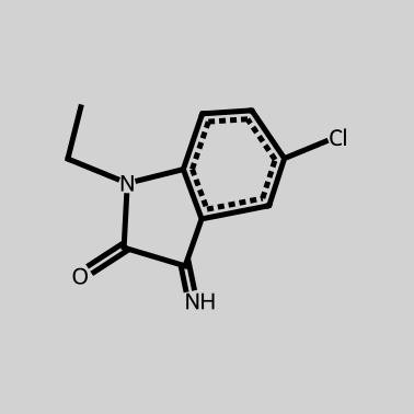 CCN1C(=O)C(=N)c2cc(Cl)ccc21